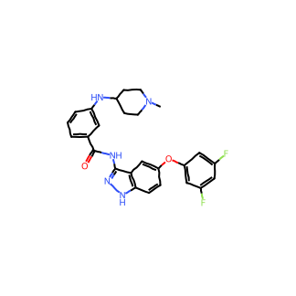 CN1CCC(Nc2cccc(C(=O)Nc3n[nH]c4ccc(Oc5cc(F)cc(F)c5)cc34)c2)CC1